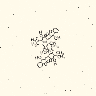 Cc1cc2c(c(O)c1-c1c(C)cc3c(c1O)/C(=C/c1c(O)c4ccccc4oc1=O)C(=O)C(O)=C3C(C)C)/C(=C/c1c(O)c3ccccc3oc1=O)C(=O)C(O)=C2C(C)C